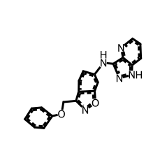 c1ccc(OCc2noc3cc(Nc4n[nH]c5cccnc45)ccc23)cc1